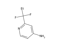 CCC(F)(F)c1cc(N)ccn1